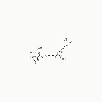 CCC(CCCO[C@@H]1C[C@@H](CO)N(C(=O)CCCCCOC2OC(CO)C(O)C(O)C2NC(C)=O)C1)C1CCC1